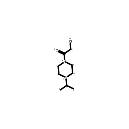 CC(C)N1CCN(C(=O)CCl)CC1